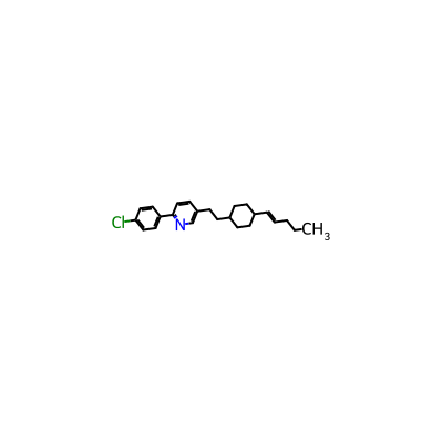 CCCC=CC1CCC(CCc2ccc(-c3ccc(Cl)cc3)nc2)CC1